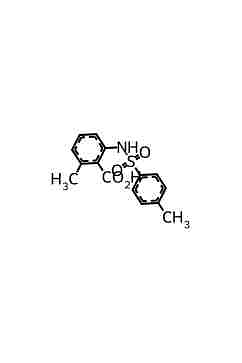 Cc1ccc(S(=O)(=O)Nc2cccc(C)c2C(=O)O)cc1